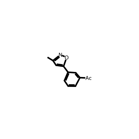 CC(=O)c1cccc(-c2cc(C)no2)c1